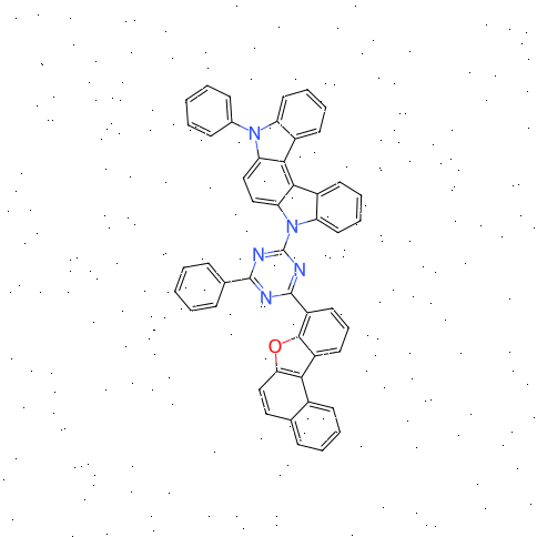 c1ccc(-c2nc(-c3cccc4c3oc3ccc5ccccc5c34)nc(-n3c4ccccc4c4c5c6ccccc6n(-c6ccccc6)c5ccc43)n2)cc1